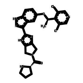 C[C@@H](Oc1ccc2[nH]nc(-c3nc4c([nH]3)CN(C(=O)[C@@H]3CCCN3)C4)c2c1)c1c(Cl)cncc1Cl